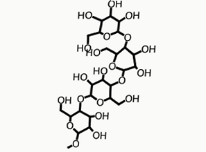 COC1OC(CO)C(OC2OC(CO)C(OC3OC(CO)C(OC4OC(CO)C(O)C(O)C4O)C(O)C3O)C(O)C2O)C(O)C1O